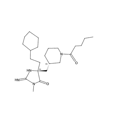 CCCCC(=O)N1CCC[C@@H](C[C@]2(CCC3CCCCC3)NC(=N)N(C)C2=O)C1